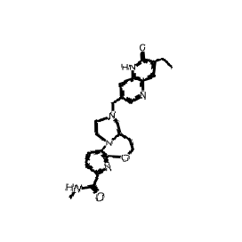 CCc1cc2ncc(CN3CCN4c5ccc(C(=O)NC)nc5OCCC4C3)cc2[nH]c1=O